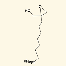 CCCCCCCCCCCCCCC1(CO)CO1